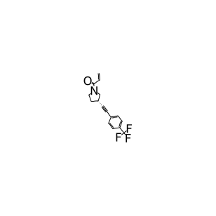 C=CC(=O)N1CC[C@@H](C#Cc2ccc(C(F)(F)F)cc2)C1